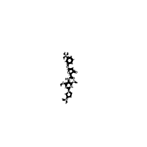 COc1nc(N2CCC(N(C)C)C2)nc(OC)c1NC(=O)C1OC(Oc2cccc([Si](C)(C)C)c2)=CC1=O